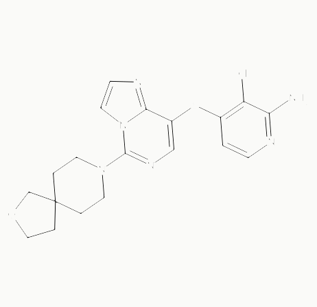 Nc1nccc(Sc2cnc(N3CCC4(CCOC4)CC3)n3ccnc23)c1Cl